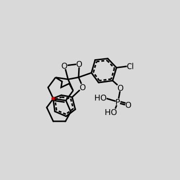 O=P(O)(O)Oc1cc(C2(Oc3ccccc3)OOC23C2CCCC3C3=C(CCCC3)C2)ccc1Cl